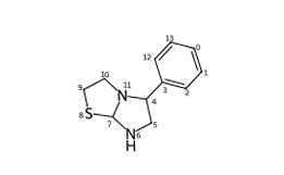 c1ccc(C2CNC3SCCN32)cc1